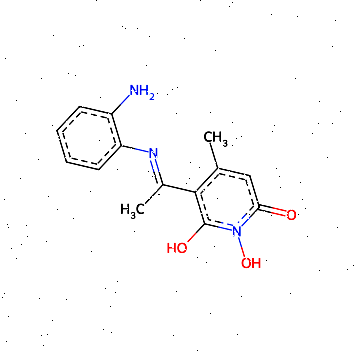 CC(=Nc1ccccc1N)c1c(C)cc(=O)n(O)c1O